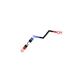 O=C=NCCO